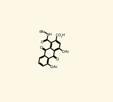 CC(=O)Oc1cccc2c1C(=O)c1c(OC(C)=O)cc(C(=O)O)c(C(=O)NC(C)(C)C)c1C2=O